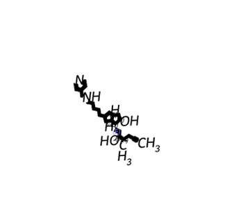 CC#CC[C@@H](C)[C@H](O)/C=C/[C@@H]1[C@H]2CC(CCCCCNCc3ccncc3)=C[C@H]2C[C@H]1O